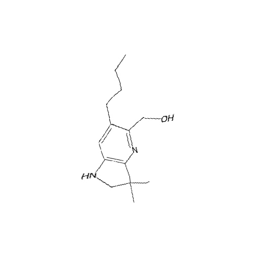 CCCCc1cc2c(nc1CO)C(C)(C)CN2